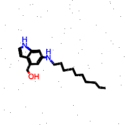 CCCCCCCCCCNc1cc(CO)c2cc[nH]c2c1